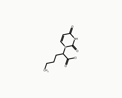 CCCCC(C(=O)Cl)n1ccc(=O)[nH]c1=O